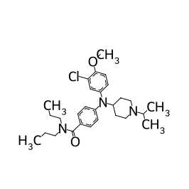 CCCN(CCC)C(=O)c1ccc(N(c2ccc(OC)c(Cl)c2)C2CCN(C(C)C)CC2)cc1